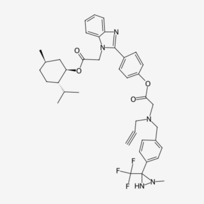 C#CCN(CC(=O)Oc1ccc(-c2nc3ccccc3n2CC(=O)O[C@@H]2C[C@H](C)CC[C@H]2C(C)C)cc1)Cc1ccc(C2(C(F)(F)F)NN2C)cc1